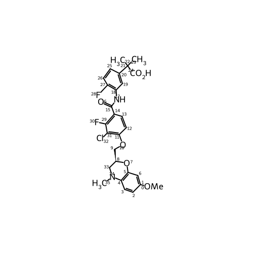 COc1ccc2c(c1)O[C@H](COc1ccc(C(=O)Nc3cc(C(C)(C)C(=O)O)ccc3F)c(F)c1Cl)CN2C